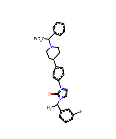 CCOC(=O)C(c1ccccc1)N1CCC(c2ccc(-n3ccn(C(C)c4cccc(F)c4)c3=O)cc2)CC1